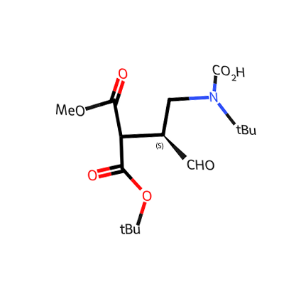 COC(=O)C(C(=O)OC(C)(C)C)[C@H](C=O)CN(C(=O)O)C(C)(C)C